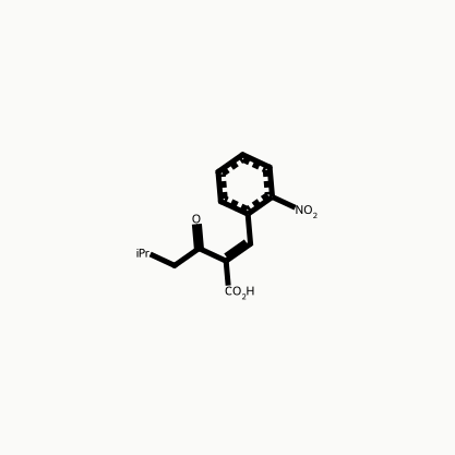 CC(C)CC(=O)C(=Cc1ccccc1[N+](=O)[O-])C(=O)O